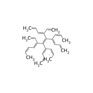 C=C/C=C(C=C)/C(=C(C(\C=C)=C\C=C/C)/C(/C=C\C)=C/C=C)C(/C=C\C)=C/C=C